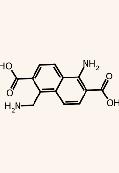 NCc1c(C(=O)O)ccc2c(N)c(C(=O)O)ccc12